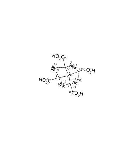 CC(=O)[C](C(C)=O)(C(=O)O)[Zr]([C](C(C)=O)(C(C)=O)C(=O)O)([C](C(C)=O)(C(C)=O)C(=O)O)[C](C(C)=O)(C(C)=O)C(=O)O